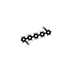 N#Cc1ccccc1-c1ccc(-c2ccc(-c3ccc(-c4ccccc4C#N)cc3)cc2)cc1